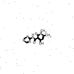 Cc1cc(O)c(C(=O)Nc2ncncn2)c(=O)n1C